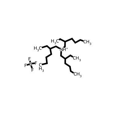 CCCCC(CC)C[NH+](CC(CC)CCCC)CC(CC)CCCC.F[B-](F)(F)F